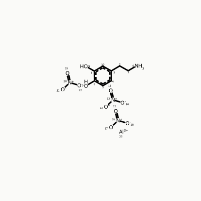 NCCc1ccc(O)c(O)c1.O=[N+]([O-])[O-].O=[N+]([O-])[O-].O=[N+]([O-])[O-].[Al+3]